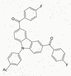 CC(=O)c1ccc(-n2c3ccc(C(=O)c4ccc(F)cc4)cc3c3cc(C(=O)c4ccc(F)cc4)ccc32)cc1